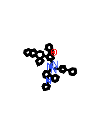 c1ccc(-c2ccc(-c3nc(-c4cc(C5CCc6cc7ccccc7cc6-c6ccccc65)c5c(c4)oc4ccccc45)nc(-c4cccc5c4c4ccccc4n5-c4ccccc4)n3)cc2)cc1